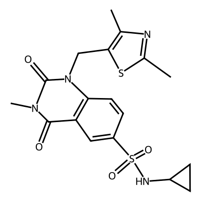 Cc1nc(C)c(Cn2c(=O)n(C)c(=O)c3cc(S(=O)(=O)NC4CC4)ccc32)s1